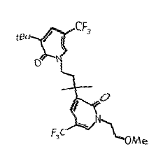 COCCn1cc(C(F)(F)F)cc(C(C)(C)CCn2cc(C(F)(F)F)cc(C(C)(C)C)c2=O)c1=O